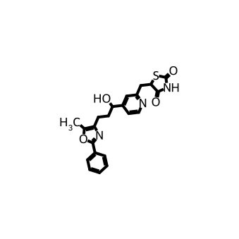 Cc1oc(-c2ccccc2)nc1CCC(O)c1ccnc(CC2SC(=O)NC2=O)c1